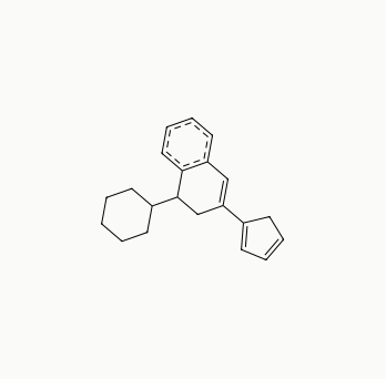 C1=CCC(C2=Cc3ccccc3C(C3CCCCC3)C2)=C1